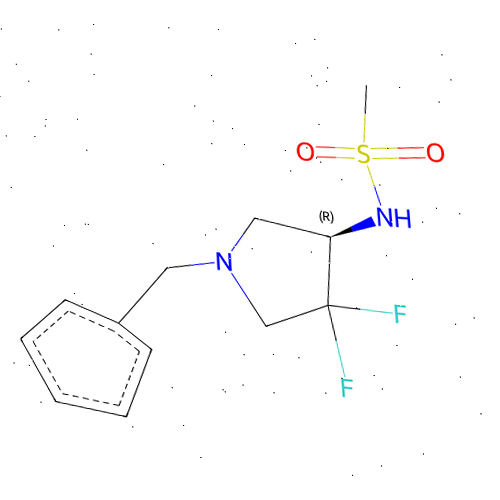 CS(=O)(=O)N[C@@H]1CN(Cc2ccccc2)CC1(F)F